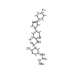 CC(C)(C)OC(=O)Nc1ccc(Cl)c(C(=O)Nc2ncc(-c3cnn(-c4ccc(F)cc4)c3)cc2F)c1